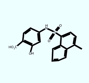 Cc1ccc(S(=O)(=O)Nc2ccc(C(=O)O)c(O)c2)c2ccccc12